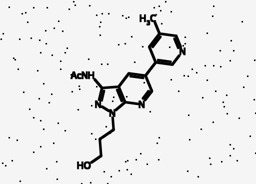 CC(=O)Nc1nn(CCCO)c2ncc(-c3cncc(C)c3)cc12